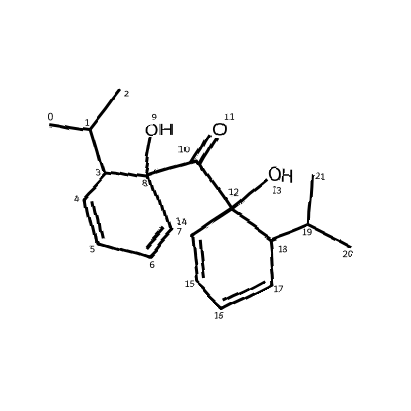 CC(C)C1C=CC=CC1(O)C(=O)C1(O)C=CC=CC1C(C)C